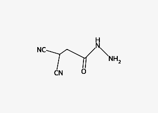 N#CC(C#N)CC(=O)NN